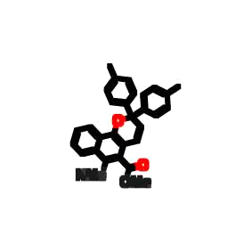 CNc1c(C(=O)OC)c2c(c3ccccc13)OC(c1ccc(C)cc1)(c1ccc(C)cc1)C=C2